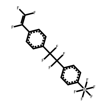 FC(F)=C(F)c1ccc(C(F)(F)C(F)(F)c2ccc(S(F)(F)(F)(F)F)cc2)cc1